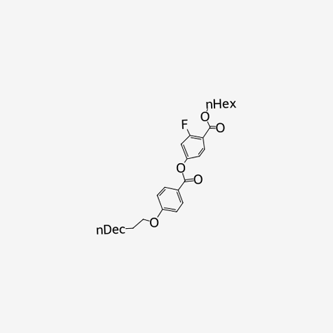 CCCCCCCCCCCCOc1ccc(C(=O)Oc2ccc(C(=O)OCCCCCC)c(F)c2)cc1